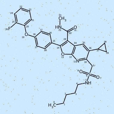 CCCCCNS(=O)(=O)Cc1nc2oc(-c3ccc(Oc4ccccc4F)cc3)c(C(=O)NC)c2cc1C1CC1